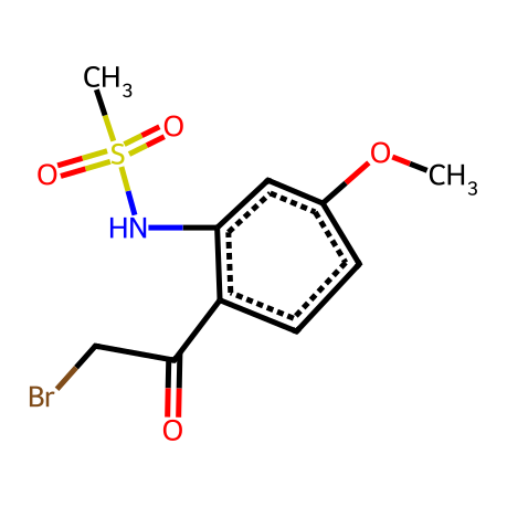 COc1ccc(C(=O)CBr)c(NS(C)(=O)=O)c1